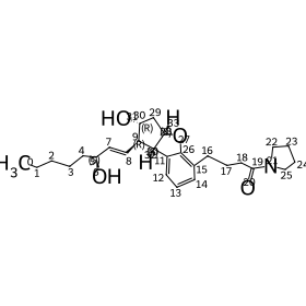 CCCCC[C@H](O)C=C[C@@H]1[C@H]2c3cccc(CCCC(=O)N4CCCC4)c3O[C@H]2C[C@H]1O